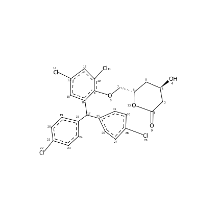 O=C1C[C@H](O)C[C@@H](COc2c(Cl)cc(Cl)cc2C(c2ccc(Cl)cc2)c2ccc(Cl)cc2)O1